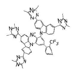 Cc1nc(C)nc(-c2ccc3c(c2)c2cc(-c4nc(C)nc(C)n4)ccc2n3-c2cc(-c3ccccc3C(F)(F)F)cc(-n3c4ccc(-c5nc(C)nc(C)n5)cc4c4cc(-c5nc(C)nc(C)n5)ccc43)c2C#N)n1